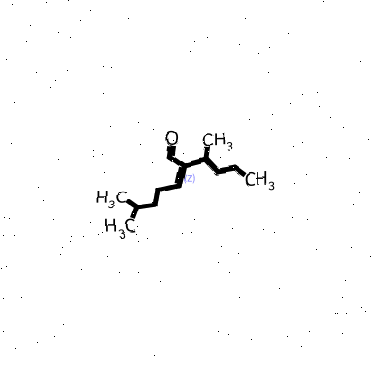 CCCC(C)/C(C=O)=C/CCC(C)C